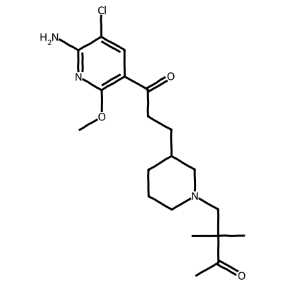 COc1nc(N)c(Cl)cc1C(=O)CCC1CCCN(CC(C)(C)C(C)=O)C1